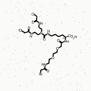 O=C(CCl)NCCN(CCNC(=O)CCl)C(=O)NCCCC[C@H](NC(=O)COCCOCCNC(=O)CBr)C(=O)O